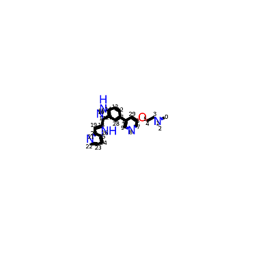 CN(C)CCOc1cncc(-c2ccc3[nH]nc(-c4cc5ncccc5[nH]4)c3c2)c1